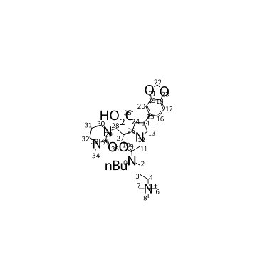 CCCCN(CCC[N+](C)(C)C)C(=O)CN1C[C@H](c2ccc3c(c2)OCO3)[C@@H](C(=O)O)[C@@H]1CCN1CCCN(C)C1=O